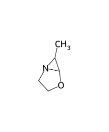 CC1C2OCCN12